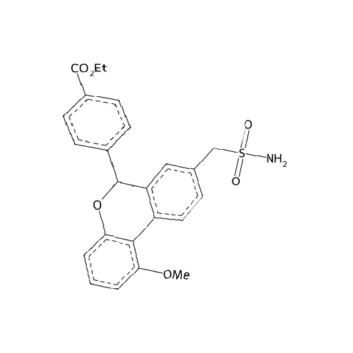 CCOC(=O)c1ccc(C2Oc3cccc(OC)c3-c3ccc(CS(N)(=O)=O)cc32)cc1